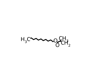 C=C(C)C(=O)OCCCCCCCCCCC